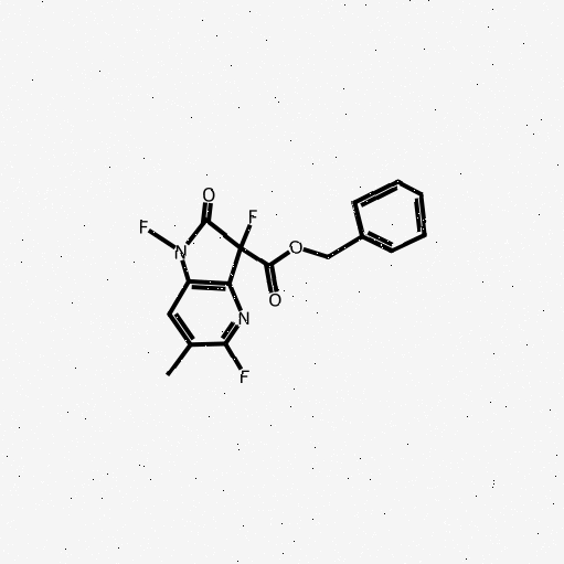 Cc1cc2c(nc1F)C(F)(C(=O)OCc1ccccc1)C(=O)N2F